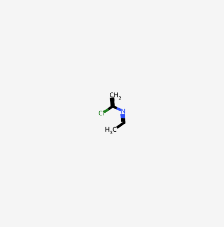 C=C(Cl)/N=C\C